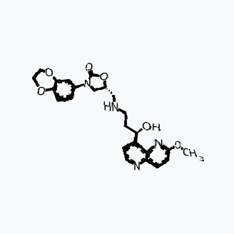 COc1ccc2nccc([C@H](O)CCNC[C@@H]3CN(c4ccc5c(c4)OCCO5)C(=O)O3)c2n1